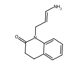 NC=CCN1C(=O)CCc2ccccc21